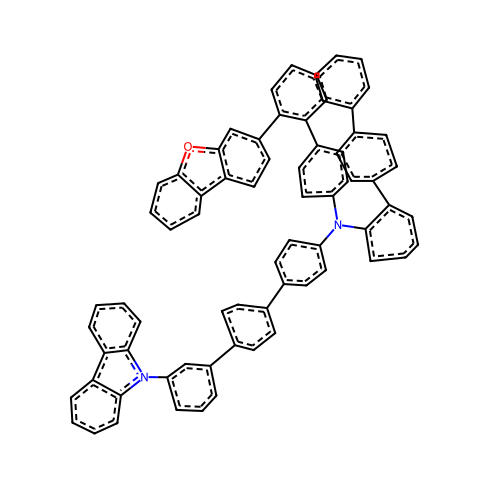 c1ccc(-c2ccc(-c3ccccc3N(c3ccc(-c4ccc(-c5cccc(-n6c7ccccc7c7ccccc76)c5)cc4)cc3)c3ccc(-c4ccccc4-c4ccc5c(c4)oc4ccccc45)cc3)cc2)cc1